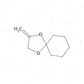 C=C1COC2(CCCCC2)O1